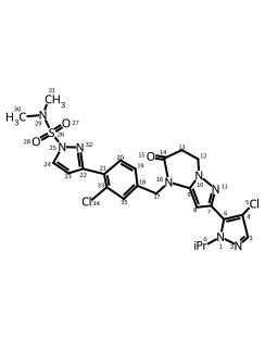 CC(C)n1ncc(Cl)c1-c1cc2n(n1)CCC(=O)N2Cc1ccc(-c2ccn(S(=O)(=O)N(C)C)n2)c(Cl)c1